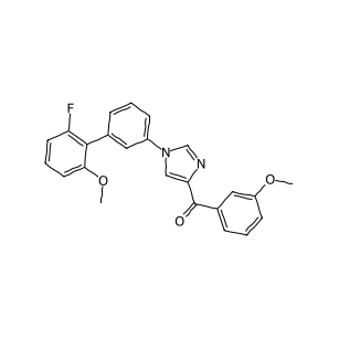 COc1cccc(C(=O)c2cn(-c3cccc(-c4c(F)cccc4OC)c3)cn2)c1